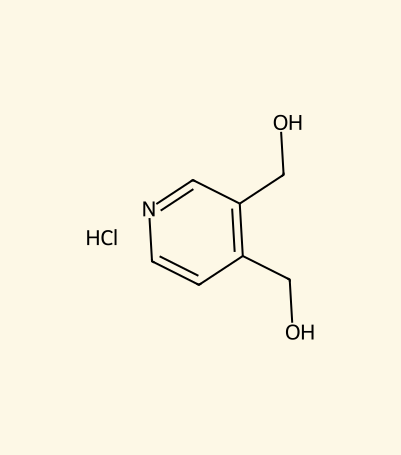 Cl.OCc1ccncc1CO